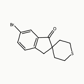 O=C1c2cc(Br)ccc2CC12CCSCC2